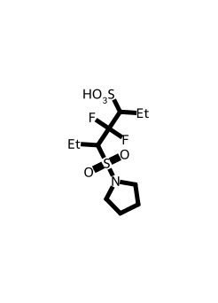 CCC(C(F)(F)C(CC)S(=O)(=O)N1CCCC1)S(=O)(=O)O